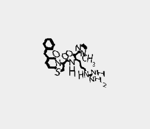 Cn1ccnc1C(=O)C(CCCNC(=N)N)NC(=O)C1CSC2CCC(Cc3ccccc3)C(=O)N21